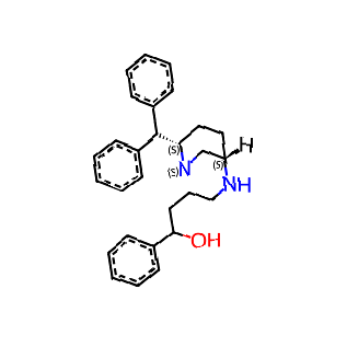 OC(CC1CN[C@H]2CC[C@@H](C(c3ccccc3)c3ccccc3)[N@@]1C2)c1ccccc1